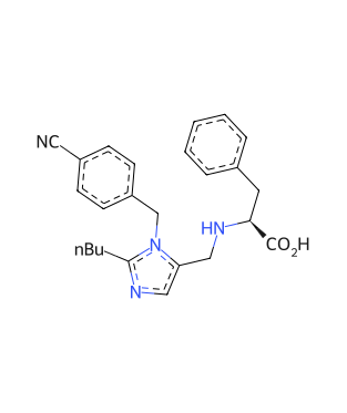 CCCCc1ncc(CN[C@@H](Cc2ccccc2)C(=O)O)n1Cc1ccc(C#N)cc1